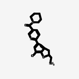 NCC1Cc2cc(-c3ccc(C(=O)N4CCCCC4)cn3)cc(Cl)c2O1